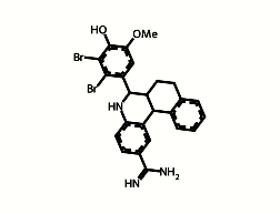 COc1cc(C2Nc3ccc(C(=N)N)cc3C3c4ccccc4CCC23)c(Br)c(Br)c1O